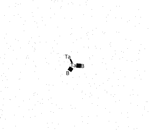 [B]#[Ta](#[B])[Ta]